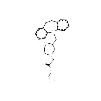 CCOC(=O)CN1CCOC(CN2c3ccccc3CCc3ccccc32)C1